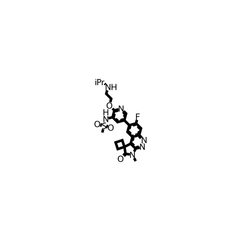 CC(C)NCCOc1ncc(-c2cc3c4c(nnc3cc2F)N(C)C(=O)C42CCC2)cc1NS(C)(=O)=O